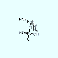 N.N.[NaH].[NaH].[OH][Pt]([OH])([Cl])[Cl]